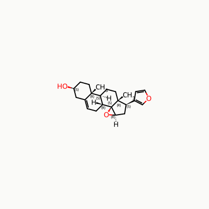 C[C@]12CC[C@H](O)CC1=CC[C@@H]1[C@@H]2CC[C@]2(C)[C@@H](c3ccoc3)C[C@H]3O[C@]132